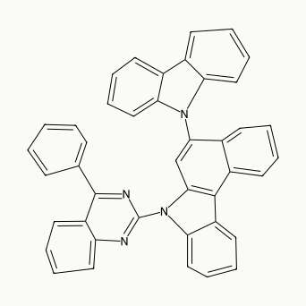 c1ccc(-c2nc(-n3c4ccccc4c4c5ccccc5c(-n5c6ccccc6c6ccccc65)cc43)nc3ccccc23)cc1